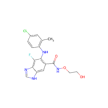 Cc1cc(Cl)ccc1Nc1c(C(=O)NOCCO)cc2[nH]cnc2c1F